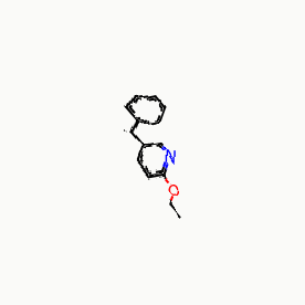 CCOc1ccc([CH]c2ccccc2)cn1